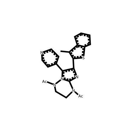 CC(=O)N1CCN(C(C)=O)n2c1nc(-c1sc3ccccc3c1C)c2-c1ccncc1